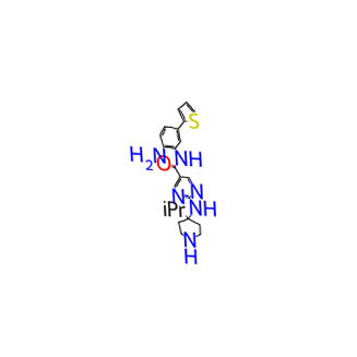 CC(C)C1(Nc2ncc(C(=O)Nc3cc(-c4cccs4)ccc3N)cn2)CCNCC1